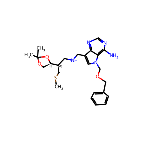 CSC[C@H](CNCc1cn(COCc2ccccc2)c2c(N)ncnc12)[C@H]1COC(C)(C)O1